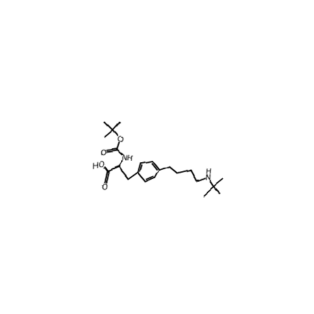 CC(C)(C)NCCCCc1ccc(CC(NC(=O)OC(C)(C)C)C(=O)O)cc1